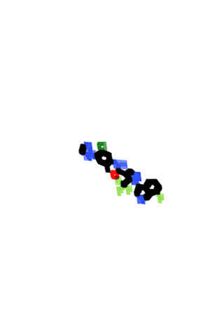 Cc1cc(-n2nccn2)c(Cl)cc1NC(=O)c1cnn(-c2cncc3c(F)cccc23)c1C(F)(F)F